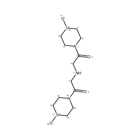 O=C(CNCC(=O)N1CC[S+]([O-])CC1)N1CC[S+]([O-])CC1